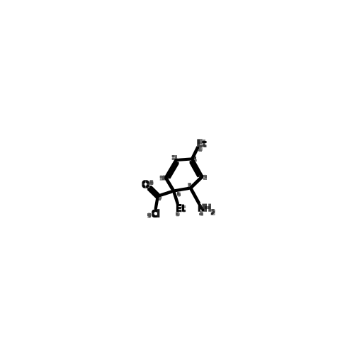 CCC1=CC(N)C(CC)(C(=O)Cl)C=C1